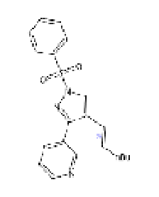 CCCC/C=C/c1cn(S(=O)(=O)c2ccccc2)nc1-c1cccnc1